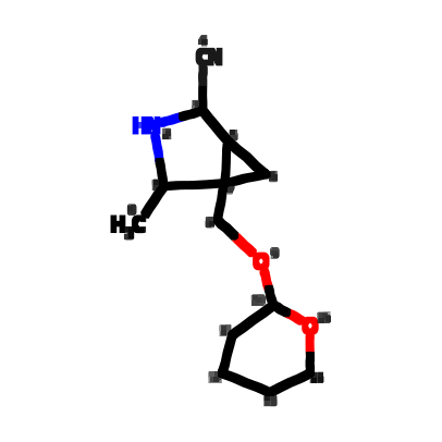 CC1NC(C#N)C2CC12COC1CCCCO1